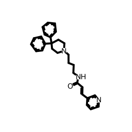 O=C(C=Cc1cccnc1)NCCCCN1CCC(c2ccccc2)(c2ccccc2)CC1